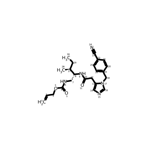 C=CCOC(=O)NC[C@@H](NC(=O)Cc1cncn1Cc1ccc(C#N)cc1)[C@@H](C)CC